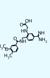 COc1cc(C(=O)NCc2ccc(C(=N)N)cc2NCC(=O)O)ccc1C